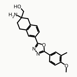 COc1ccc(-c2nnc(-c3ccc4c(c3)CCC(N)(CO)C4)o2)cc1C